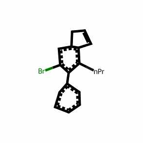 CCCc1c2c(cc(Br)c1-c1ccccc1)CC=C2